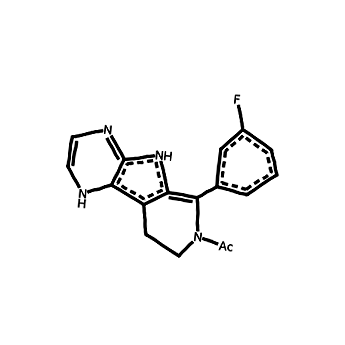 CC(=O)N1CCc2c3c([nH]c2=C1c1cccc(F)c1)=NC=CN3